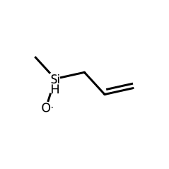 C=CC[SiH](C)[O]